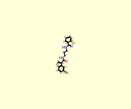 O=C(NCCCNc1nsc2ccccc12)c1csc2ccc(Br)cc12